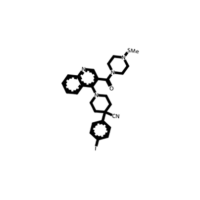 CSN1CCN(C(=O)c2cnc3ccccc3c2N2CCC(C#N)(c3ccc(I)cc3)CC2)CC1